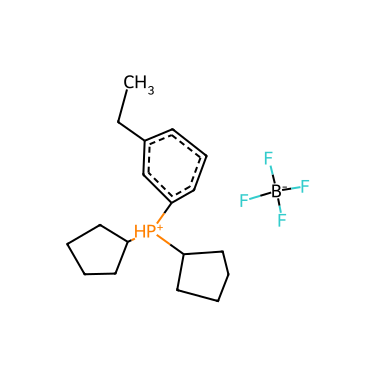 CCc1cccc([PH+](C2CCCC2)C2CCCC2)c1.F[B-](F)(F)F